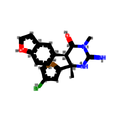 CN1C(=N)N[C@](C)(c2cc(Br)cs2)[C@@H](c2ccc3occc3c2)C1=O